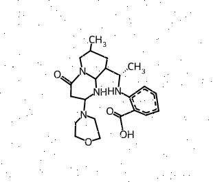 CC1CC([C@H](C)Nc2ccccc2C(=O)O)C2NC(N3CCOCC3)CC(=O)N2C1